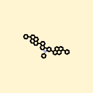 c1ccc(-c2ccc3ccc4c(-c5ccc6c7c8cccc(-c9ccc%10ccc%11c(-c%12ccccc%12)ccc%12ccc9c%10c%12%11)c8ccc7n(-c7ccccc7)c6c5)ccc5ccc2c3c54)cc1